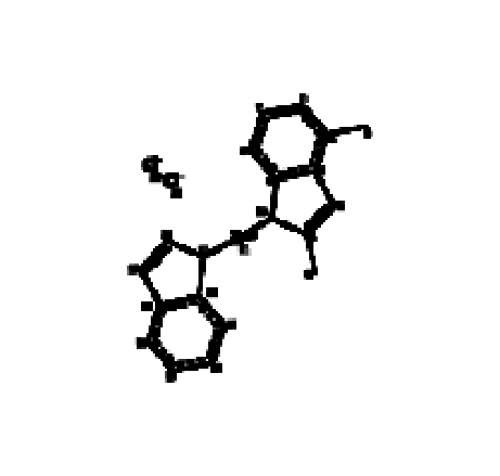 CC1=Cc2c(C)cccc2[CH]1[Zr+2][CH]1C=Cc2ccccc21.[Cl-].[Cl-]